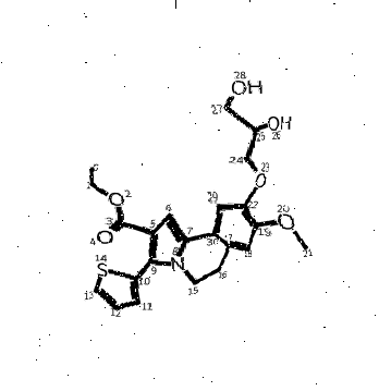 CCOC(=O)c1cc2n(c1-c1cccs1)CCc1cc(OC)c(OCC(O)CO)cc1-2